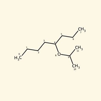 CCCCC(CCC)OC(C)C